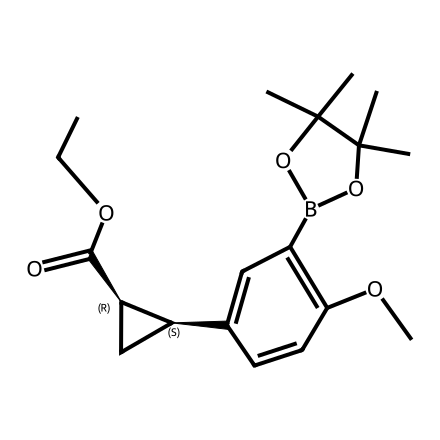 CCOC(=O)[C@@H]1C[C@@H]1c1ccc(OC)c(B2OC(C)(C)C(C)(C)O2)c1